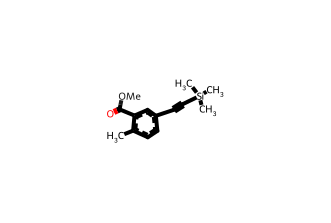 COC(=O)c1cc(C#C[Si](C)(C)C)ccc1C